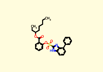 CCCCCC(CC)OC(=O)c1ccccc1OS(=O)(=O)c1nc2c(-c3ccccc3)cccc2[nH]1